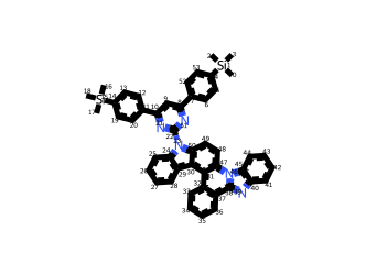 C[Si](C)(C)c1ccc(-c2cc(-c3ccc([Si](C)(C)C)cc3)nc(-n3c4ccccc4c4c5c6ccccc6c6nc7ccccc7n6c5ccc43)n2)cc1